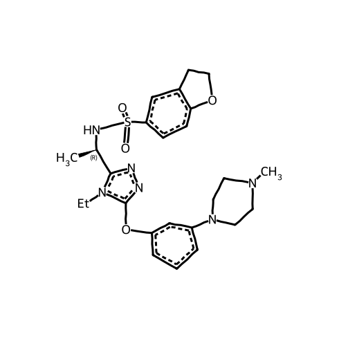 CCn1c(Oc2cccc(N3CCN(C)CC3)c2)nnc1[C@@H](C)NS(=O)(=O)c1ccc2c(c1)CCO2